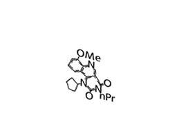 CCCn1c(=O)c2cnc3c(OC)cccc3c2n(C2CCCC2)c1=O